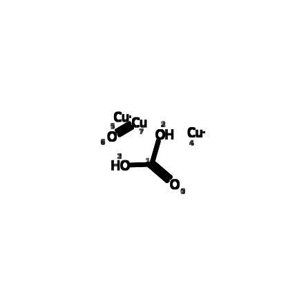 O=C(O)O.[Cu].[Cu].[O]=[Cu]